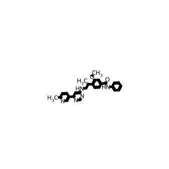 COc1cc(C(=O)Nc2ccccc2)ccc1C(C)CNc1cc(-c2ccc(C)nc2)ncn1